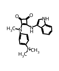 CN(C)c1ccc(N(C)c2c(Nc3c[nH]c4ccccc34)c(=O)c2=O)cc1